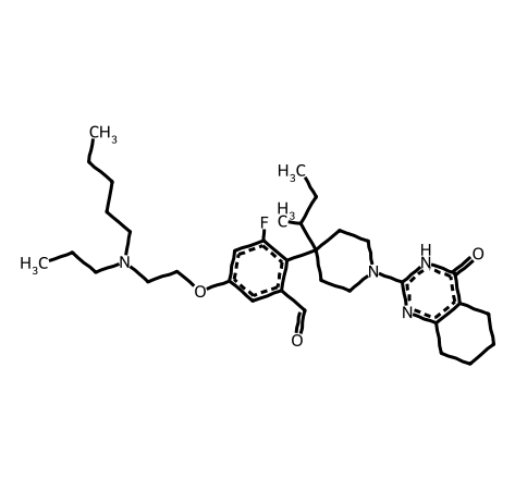 CCCCCN(CCC)CCOc1cc(F)c(C2(C(C)CC)CCN(c3nc4c(c(=O)[nH]3)CCCC4)CC2)c(C=O)c1